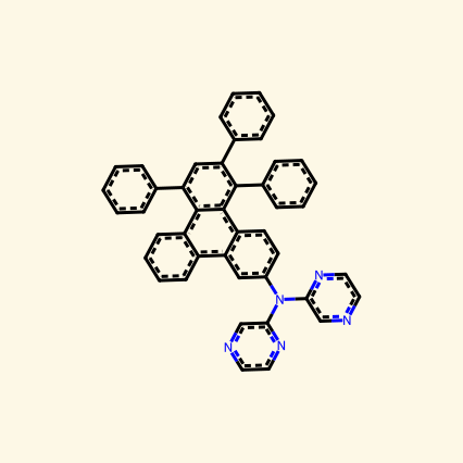 c1ccc(-c2cc(-c3ccccc3)c3c4ccccc4c4cc(N(c5cnccn5)c5cnccn5)ccc4c3c2-c2ccccc2)cc1